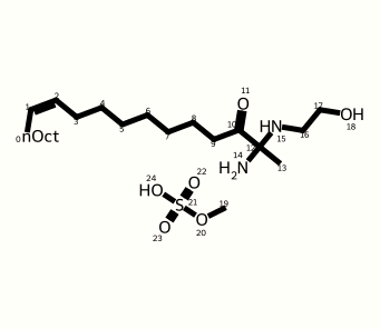 CCCCCCCC/C=C\CCCCCCCC(=O)C(C)(N)NCCO.COS(=O)(=O)O